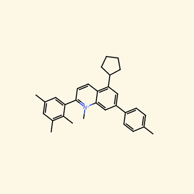 Cc1ccc(-c2cc(C3CCCC3)c3ccc(-c4cc(C)cc(C)c4C)[n+](C)c3c2)cc1